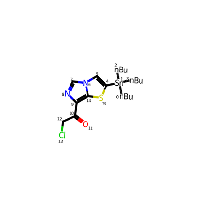 CCC[CH2][Sn]([CH2]CCC)([CH2]CCC)[c]1cn2cnc(C(=O)CCl)c2s1